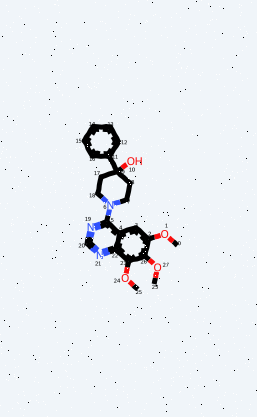 COc1cc2c(N3CCC(O)(c4ccccc4)CC3)ncnc2c(OC)c1OC